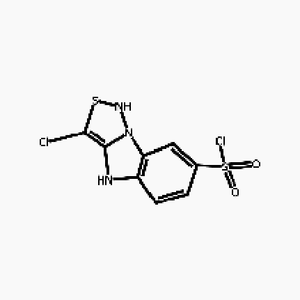 O=S(=O)(Cl)c1ccc2c(c1)N1NSC(Cl)=C1N2